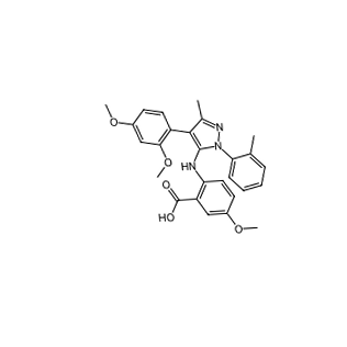 COc1ccc(-c2c(C)nn(-c3ccccc3C)c2Nc2ccc(OC)cc2C(=O)O)c(OC)c1